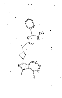 O=C(CC1CC(c2nc(I)c3c(Cl)nccn23)C1)OC(C(=O)O)c1ccccc1